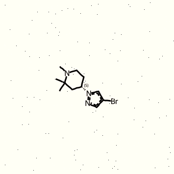 CN1CC[C@H](n2cc(Br)cn2)CC1(C)C